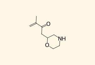 C=C(C)C(=O)CC1CNCCO1